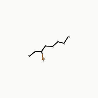 CCCCCC(Br)CC